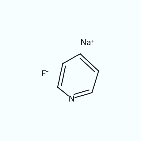 [F-].[Na+].c1ccncc1